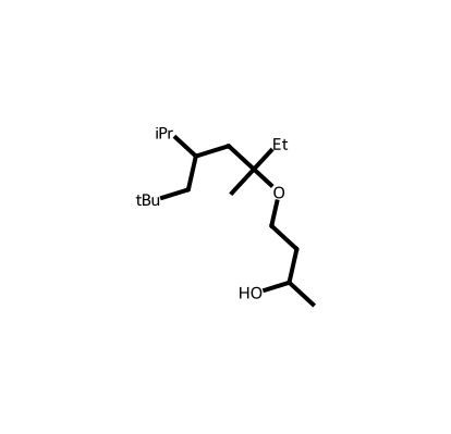 CCC(C)(CC(CC(C)(C)C)C(C)C)OCCC(C)O